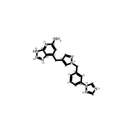 Nc1cc(Cc2cnn(Cc3cccc(-n4cncn4)c3)c2)c2nn[nH]c2n1